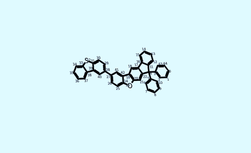 c1ccc(C2(c3ccccc3)c3ccccc3-c3cc4c(cc32)oc2ccc(-c3ccc5sc6ccccc6c5c3)cc24)cc1